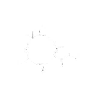 C=CC=C(C)C1OC(=O)CC(O)CCC(C)(O)C(OC(C)=O)C=CC1C